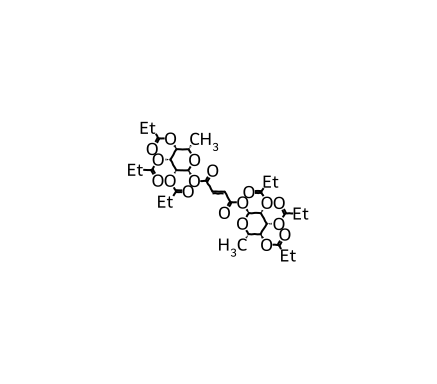 CCC(=O)O[C@@H]1[C@@H](OC(=O)CC)[C@H](C)O[C@@H](OC(=O)/C=C/C(=O)O[C@@H]2O[C@@H](C)[C@H](OC(=O)CC)[C@@H](OC(=O)CC)[C@H]2OC(=O)CC)[C@@H]1OC(=O)CC